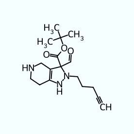 C#CCCCN1NC2=C(CNCC2)C1(C=O)C(=O)OC(C)(C)C